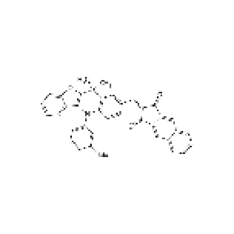 CC(C)(C)c1cccc(N2c3ccc(C=C4C(=O)c5cc6ccccc6cc5C4=O)cc3C(C)(C)c3oc4ccccc4c32)c1